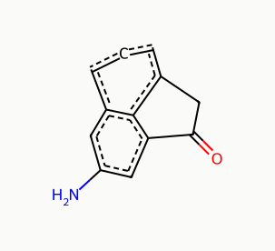 Nc1cc2c3c(cccc3c1)CC2=O